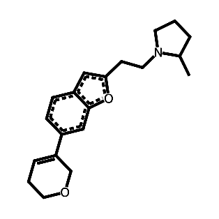 CC1CCCN1CCc1cc2ccc(C3=CCCOC3)cc2o1